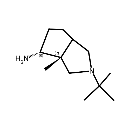 CC(C)(C)N1CC2CC[C@@H](N)[C@@]2(C)C1